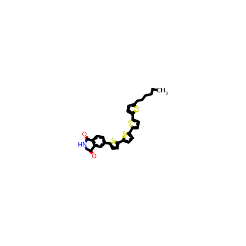 CCCCCCc1ccc(-c2ccc(-c3ccc(-c4ccc(-c5ccc6c(c5)C(=O)CNC6=O)s4)s3)s2)s1